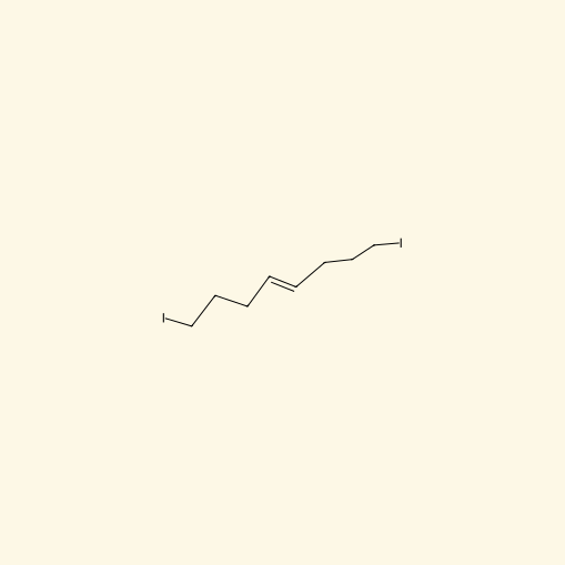 ICCCC=CCCCI